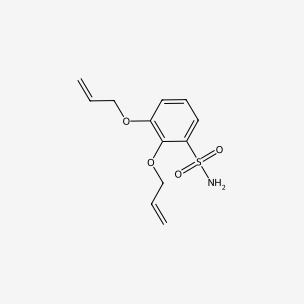 C=CCOc1cccc(S(N)(=O)=O)c1OCC=C